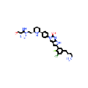 C[C@H](N)CCCc1cc(Cl)c(F)c(-c2cc3c([nH]2)=NC(O)N(c2ccc([C@@H]4CCC[C@@H](CCNC(=N)[C@@H](N)CO)N4)cc2)C=3)c1